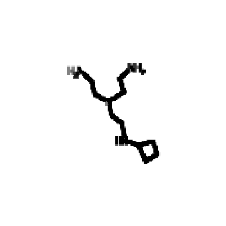 NCCN(CCN)CCNC1CCC1